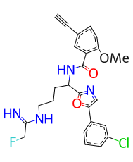 C#Cc1ccc(OC)c(C(=O)NC(CCCNC(=N)CF)c2ncc(-c3cccc(Cl)c3)o2)c1